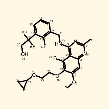 COc1cc2nc(C)nc(NCc3cccc(C(F)(F)CO)c3F)c2c(F)c1OCCOC1CC1